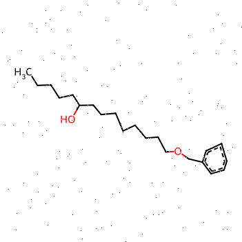 CCCCCC(O)CCCCCCCCOCc1ccccc1